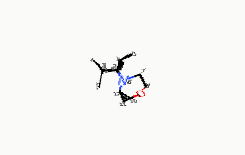 C/C=C(/C(C)C)N1CCOC2=C=C21